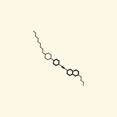 CCCCCCCCCC1CCC(c2ccc(C#Cc3ccc4cc(CCCC)ccc4c3)cc2)CC1